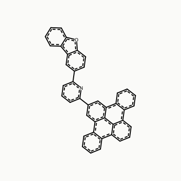 c1cc(-c2ccc3oc4ccccc4c3c2)nc(-c2cc3c4ccccc4c4cccc5c6ccccc6c(c2)c3c45)c1